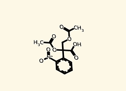 CC(=O)OCC(OC(C)=O)(C(=O)O)c1ccccc1[N+](=O)[O-]